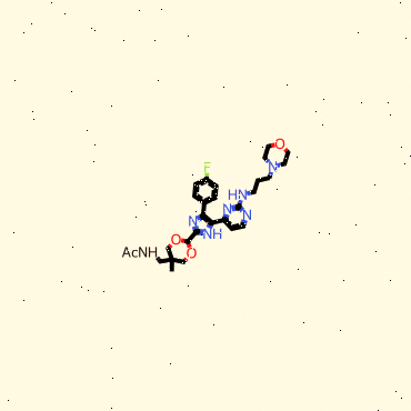 CC(=O)NCC1(C)COC(c2nc(-c3ccc(F)cc3)c(-c3ccnc(NCCCN4CCOCC4)n3)[nH]2)OC1